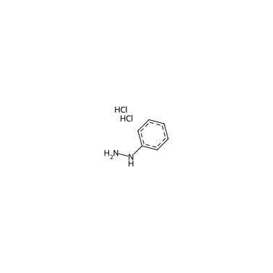 Cl.Cl.NNc1ccccc1